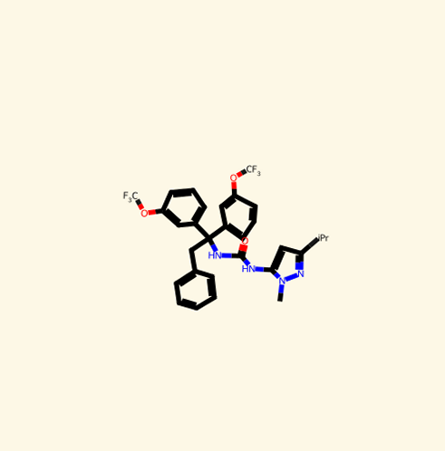 CC(C)c1cc(NC(=O)NC(Cc2ccccc2)(c2cccc(OC(F)(F)F)c2)c2cccc(OC(F)(F)F)c2)n(C)n1